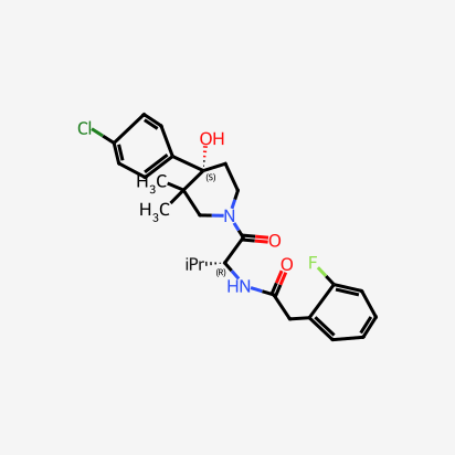 CC(C)[C@@H](NC(=O)Cc1ccccc1F)C(=O)N1CC[C@](O)(c2ccc(Cl)cc2)C(C)(C)C1